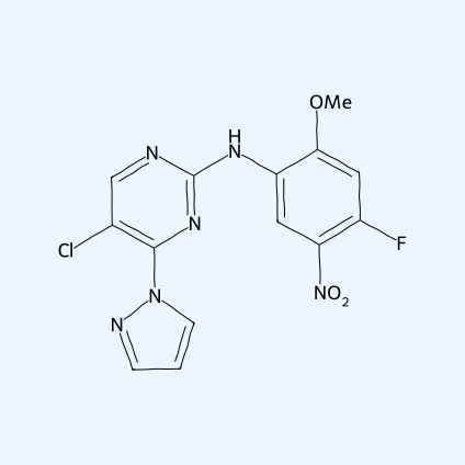 COc1cc(F)c([N+](=O)[O-])cc1Nc1ncc(Cl)c(-n2cccn2)n1